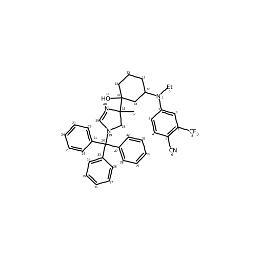 CCN(c1ccc(C#N)c(C(F)(F)F)c1)C1CCCC(O)(C2(C)CN(C(c3ccccc3)(c3ccccc3)c3ccccc3)C=N2)C1